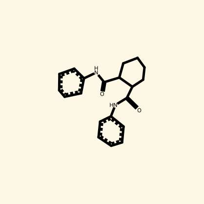 O=C(Nc1ccccc1)C1CCCCC1C(=O)Nc1ccccc1